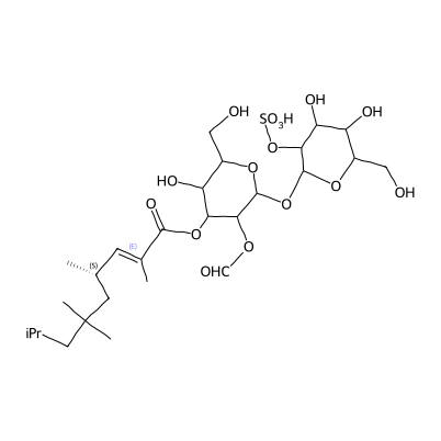 C/C(=C\[C@@H](C)CC(C)(C)CC(C)C)C(=O)OC1C(O)C(CO)OC(OC2OC(CO)C(O)C(O)C2OS(=O)(=O)O)C1OC=O